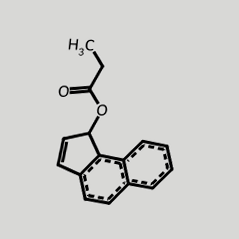 CCC(=O)OC1C=Cc2ccc3ccccc3c21